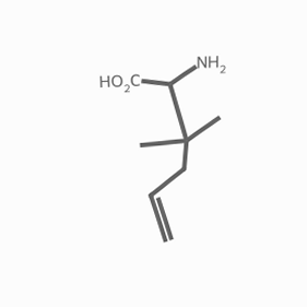 C=CCC(C)(C)C(N)C(=O)O